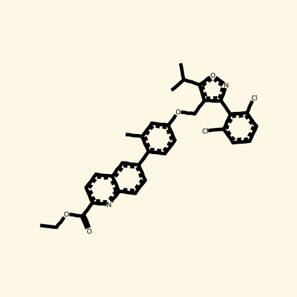 CCOC(=O)c1ccc2cc(-c3ccc(OCc4c(-c5c(Cl)cccc5Cl)noc4C(C)C)cc3C)ccc2n1